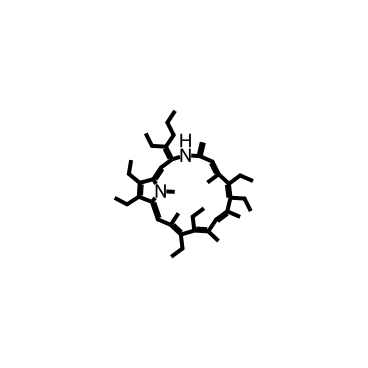 C=C1/C=C(C)/C(CC)=C(CC)\C(C)=C\C(C)=C(CC)\C(CC)=C(C)\C=c2\c(CC)c(CC)/c(n2C)=C/C(=C(\CC)CCC)N1